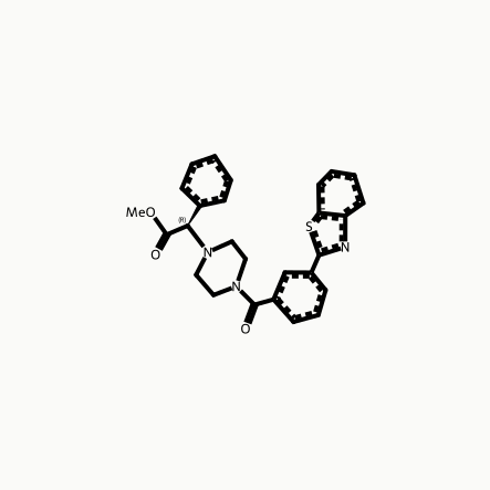 COC(=O)[C@@H](c1ccccc1)N1CCN(C(=O)c2cccc(-c3nc4ccccc4s3)c2)CC1